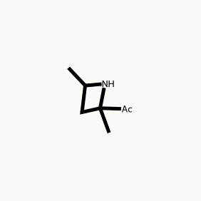 CC(=O)C1(C)CC(C)N1